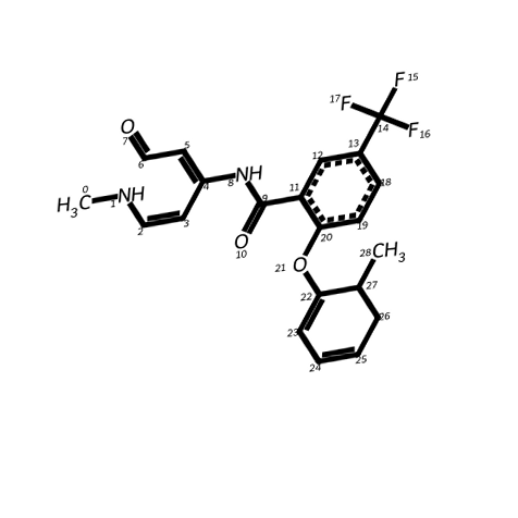 CN/C=C\C(=C/C=O)NC(=O)c1cc(C(F)(F)F)ccc1OC1=CC=CCC1C